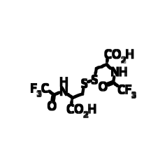 O=C(O)[C@H](CSSC[C@H](NC(=O)C(F)(F)F)C(=O)O)NC(=O)C(F)(F)F